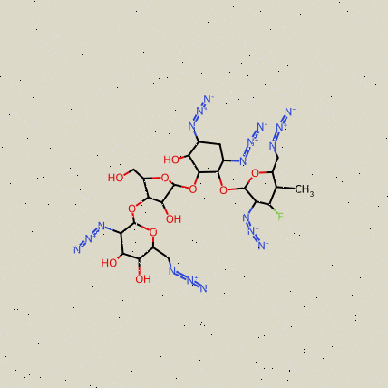 CC1C(CN=[N+]=[N-])OC(OC2C(N=[N+]=[N-])CC(N=[N+]=[N-])C(O)C2OC2OC(CO)C(OC3OC(CN=[N+]=[N-])C(O)C(O)C3N=[N+]=[N-])C2O)C(N=[N+]=[N-])C1F